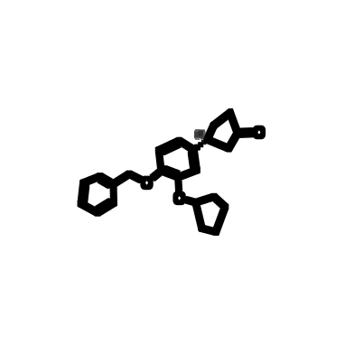 O=C1CC[C@@H](c2ccc(OCc3ccccc3)c(OC3CCCC3)c2)C1